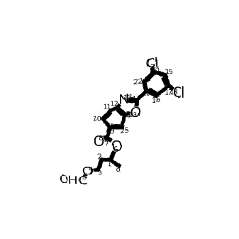 CC(CCOC=O)OC(=O)c1ccc2nc(-c3cc(Cl)cc(Cl)c3)oc2c1